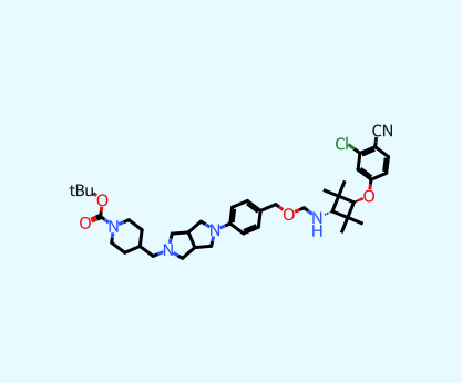 CC(C)(C)OC(=O)N1CCC(CN2CC3CN(c4ccc(COCN[C@H]5C(C)(C)[C@H](Oc6ccc(C#N)c(Cl)c6)C5(C)C)cc4)CC3C2)CC1